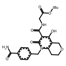 CC(C)(C)OC(=O)CNC(=O)c1c(O)c2c(n(Cc3ccc(C(N)=O)cc3)c1=O)CCOC2